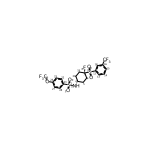 O=S(=O)(N[C@H]1CC[C@@](F)(S(=O)(=O)c2cccc(C(F)(F)F)c2)CC1)c1ccc(OC(F)(F)F)cc1